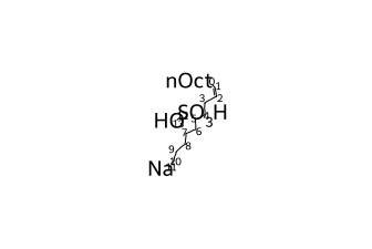 CCCCCCCC/C=C\CCCCCCC[CH2][Na].O=S(=O)(O)O